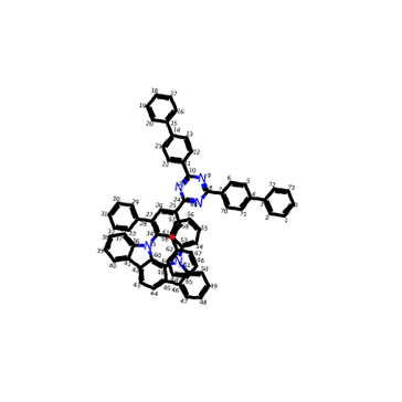 c1ccc(-c2ccc(-c3nc(-c4ccc(-c5ccccc5)cc4)nc(-c4cc(-c5ccccc5)c(-n5c6ccccc6c6ccc7c8ccccc8n(-c8ccccc8)c7c65)c(-c5ccccc5)c4)n3)cc2)cc1